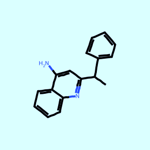 CC(c1ccccc1)c1cc(N)c2ccccc2n1